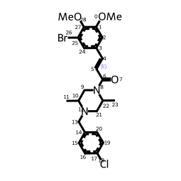 COc1cc(/C=C/C(=O)N2CC(C)N(Cc3ccc(Cl)cc3)CC2C)cc(Br)c1OC